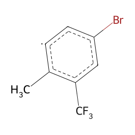 Cc1[c]cc(Br)cc1C(F)(F)F